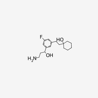 NCCC(O)c1cc(F)cc(CCC2(O)CCCCC2)c1